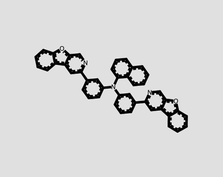 c1cc(-c2cc3c(cn2)oc2ccccc23)cc(N(c2cccc(-c3cc4c(cn3)oc3ccccc34)c2)c2cccc3ccccc23)c1